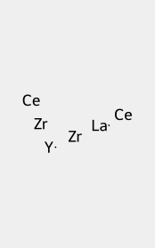 [Ce].[Ce].[La].[Y].[Zr].[Zr]